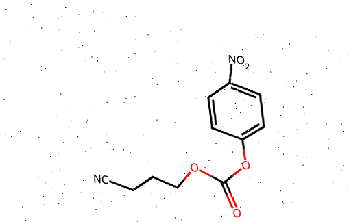 N#CCCCOC(=O)Oc1ccc([N+](=O)[O-])cc1